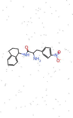 NC(Cc1ccc([N+](=O)[O-])cc1)C(=O)NC1CCCc2ccccc21